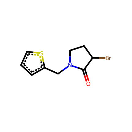 O=C1C(Br)CCN1Cc1cccs1